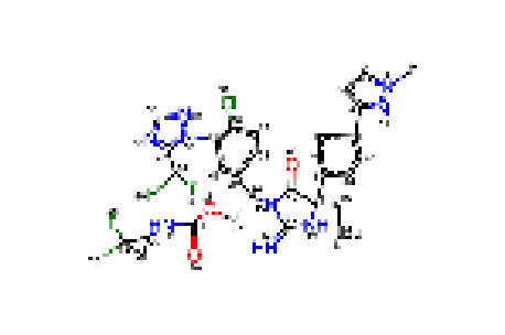 Cn1ccc(-c2ccc([C@@]3(CC(C)(C)C)NC(=N)N([C@H](COC(=O)N[C@H]4CC4(F)F)c4ccc(Cl)c(-n5ncnc5C(F)F)c4)C3=O)cc2)n1